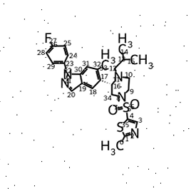 Cc1ncc(S(=O)(=O)N2CCN(CC(C)C)[C@@H](c3cc4cnn(-c5ccc(F)cc5)c4cc3C)C2)s1